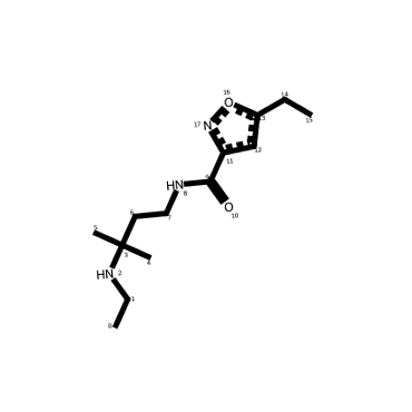 CCNC(C)(C)CCNC(=O)c1cc(CC)on1